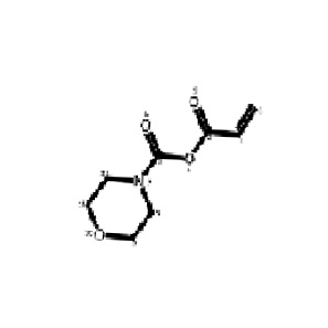 C=CC(=O)OC(=O)N1CCOCC1